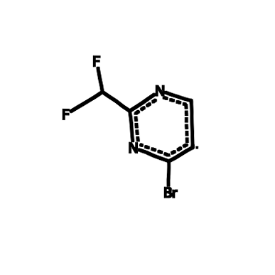 FC(F)c1nc[c]c(Br)n1